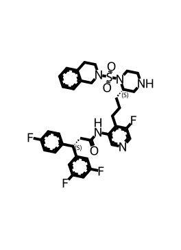 O=C(C[C@@H](c1ccc(F)cc1)c1cc(F)cc(F)c1)Nc1cncc(F)c1CCC[C@H]1CNCCN1S(=O)(=O)N1CCc2ccccc2C1